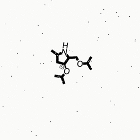 CC1C[C@H](OC(C)C)C(COC(C)C)N1